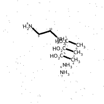 CC(=O)O.CC(=O)O.CC(=O)O.N.N.NCCN